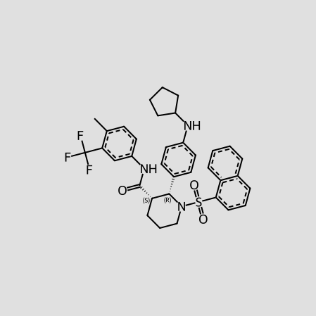 Cc1ccc(NC(=O)[C@H]2CCCN(S(=O)(=O)c3cccc4ccccc34)[C@H]2c2ccc(NC3CCCC3)cc2)cc1C(F)(F)F